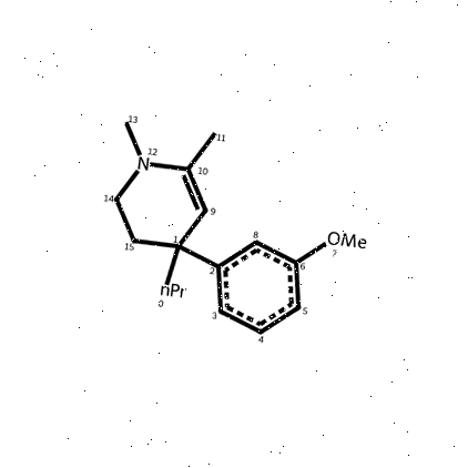 CCCC1(c2cccc(OC)c2)C=C(C)N(C)CC1